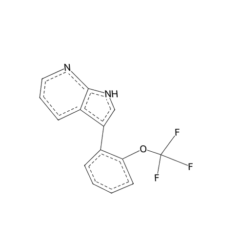 FC(F)(F)Oc1ccccc1-c1c[nH]c2ncccc12